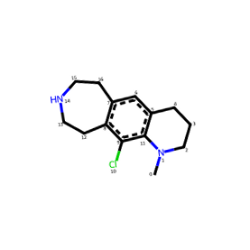 CN1CCCc2cc3c(c(Cl)c21)CCNCC3